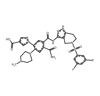 CN1CCN(c2cc(C(N)=O)c(C(=O)Nc3n[nH]c4c3CN(S(=O)(=O)c3cc(F)cc(F)c3)CC4)cc2-n2cc(C(=O)O)cn2)CC1